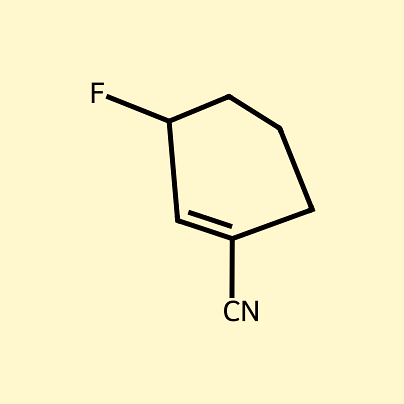 N#CC1=CC(F)CCC1